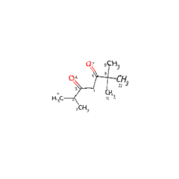 CC(C)C(=O)CC(=O)C(C)(C)C